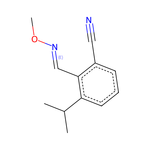 CO/N=C/c1c(C#N)cccc1C(C)C